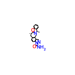 C[C@H](c1ccccc1)N1Cc2c(ccc3c2cnn3C(N)=O)C[CH]C1=O